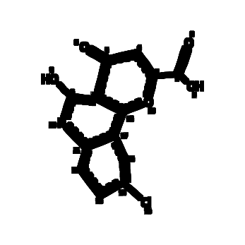 O=C(O)c1cc(=O)c2c(O)nc3ccc(Cl)cc3c2o1